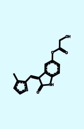 Cc1ccsc1C=C1C(=O)Nc2ccc(OC(=O)CO)cc21